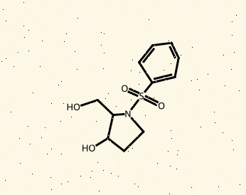 O=S(=O)(c1ccccc1)N1CCC(O)C1CO